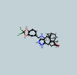 C=C1CC[C@@]2(C)[C@@]3(CNCc4ccc5c(c4)OC(F)(F)O5)C[C@]3([C@@]3(C)Cc4cn[nH]c4C[C@@H]3CO)CC[C@]12C